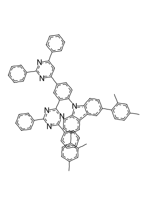 Cc1ccc(-c2ccc3c(c2)c2cc(-c4ccc(C)cc4C)ccc2n3-c2ccc(-c3cc(-c4ccccc4)nc(-c4ccccc4)n3)cc2-c2nc(-c3ccccc3)nc(-c3ccccc3)n2)c(C)c1